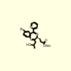 COC(=O)CC[C@@H]1N=C(c2ccccn2)c2cc(Br)ccc2N=C1CC(C)O